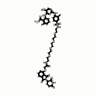 Cc1cc(S(=O)(=O)NCCOCCOCCOCCOCCNC(=O)COc2cccc3c2C(=O)N(C2CCC(=O)NC2=O)C3=O)ccc1Nc1ncc(Br)c(Nc2cccc(F)c2C(N)=O)n1